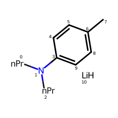 CCCN(CCC)c1ccc(C)cc1.[LiH]